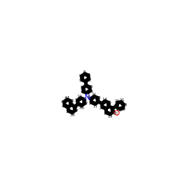 c1ccc(-c2ccc(N(c3ccc(-c4ccc5c(ccc6oc7ccccc7c65)c4)cc3)c3ccc(-c4cccc5ccccc45)cc3)cc2)cc1